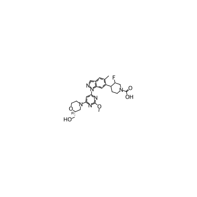 COc1nc(N2CCO[C@@H](CO)C2)cc(-n2ncc3cc(C)c(C4CCN(C(=O)O)CC4F)cc32)n1